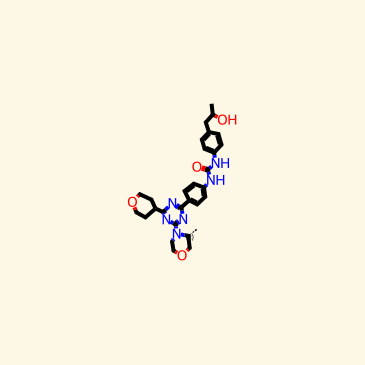 CC(O)Cc1ccc(NC(=O)Nc2ccc(-c3nc(C4CCOCC4)nc(N4CCOC[C@H]4C)n3)cc2)cc1